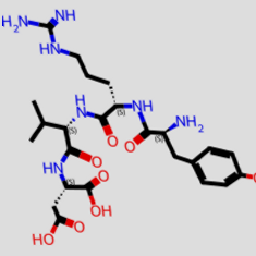 CC(C)[C@H](NC(=O)[C@H](CCCNC(=N)N)NC(=O)[C@@H](N)Cc1ccc(O)cc1)C(=O)N[C@@H](CC(=O)O)C(=O)O